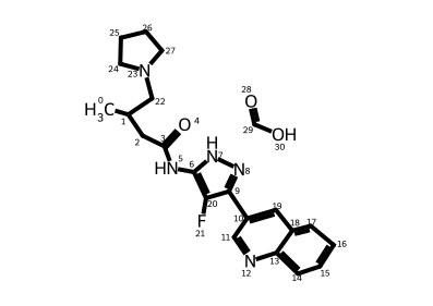 CC(CC(=O)Nc1[nH]nc(-c2cnc3ccccc3c2)c1F)CN1CCCC1.O=CO